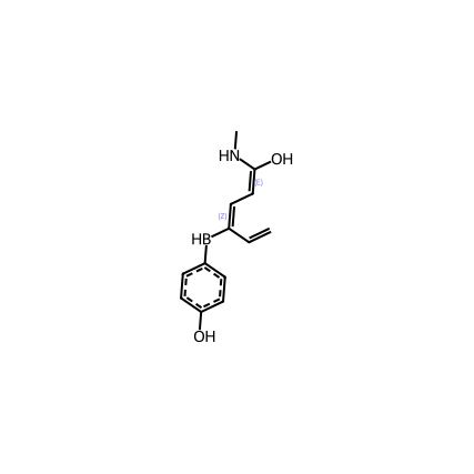 C=C/C(Bc1ccc(O)cc1)=C\C=C(\O)NC